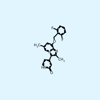 Cc1cc(OCc2c(F)cccc2F)c2nc(C)c(-c3cc[nH]c(=O)c3)n2c1